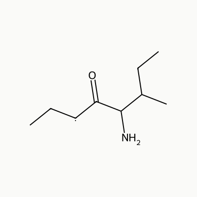 CC[CH]C(=O)C(N)C(C)CC